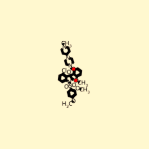 COc1ccc(S(=O)(=O)N2C(=O)C(OC(=O)N3CCN(C4CCN(C)CC4)CC3)(c3ccccc3OC)c3c(Cl)cccc32)c(OC)c1